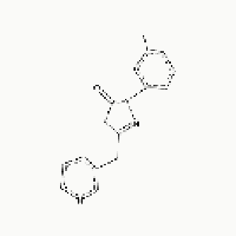 Cc1cccc(N2N=C(Cc3cccnc3)CC2=O)c1